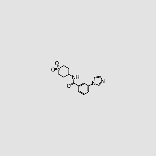 O=C(NC1CCS(=O)(=O)CC1)c1cccc(-n2ccnc2)c1